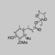 COc1c(O)ccc(C=CC(=O)OC2(C)OCCO2)c1C(C)=O